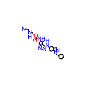 CCc1c(NC(=O)OCCNCC#N)cn2ncnc(Nc3ccc4c(cnn4Cc4ccccc4)c3)c12